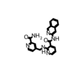 NC(=O)c1cc(CNc2ncccc2C(=O)Nc2cc3ccccc3cn2)ccn1